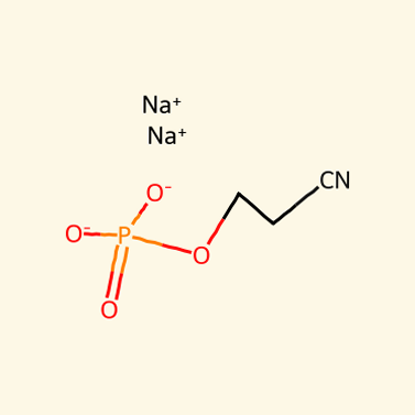 N#CCCOP(=O)([O-])[O-].[Na+].[Na+]